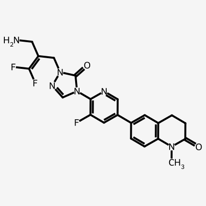 CN1C(=O)CCc2cc(-c3cnc(-n4cnn(CC(CN)=C(F)F)c4=O)c(F)c3)ccc21